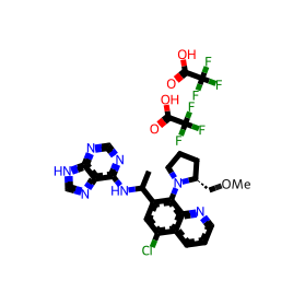 COC[C@H]1CCCN1c1c(C(C)Nc2ncnc3[nH]cnc23)cc(Cl)c2cccnc12.O=C(O)C(F)(F)F.O=C(O)C(F)(F)F